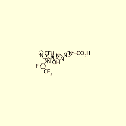 O=C(O)CCN1CCN(c2cnc(C(O)Nc3nc(-c4cc(F)cc(C(F)(F)F)c4)c(CN4CCC[C@H]4C(F)(F)F)s3)cn2)CC1